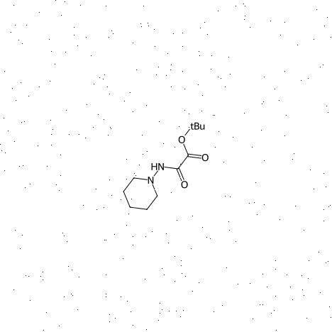 CC(C)(C)OC(=O)C(=O)NN1CCCCC1